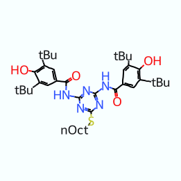 CCCCCCCCSc1nc(NC(=O)c2cc(C(C)(C)C)c(O)c(C(C)(C)C)c2)nc(NC(=O)c2cc(C(C)(C)C)c(O)c(C(C)(C)C)c2)n1